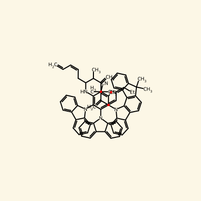 C=C/C=C\CC(Nc1c(C#N)c(C#N)c(-n2c3ccccc3c3ccc4c(c32)-c2ccccc2C4(C)C)c(-n2c3ccccc3c3ccccc32)c1-n1c2ccccc2c2ccccc21)C(C)C(=C)C(C)(C)C(=C)/C=C\C=C/CC